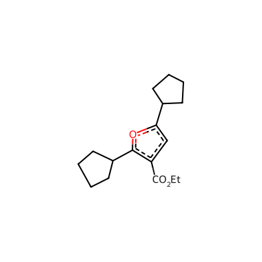 CCOC(=O)c1cc(C2CCCC2)oc1C1CCCC1